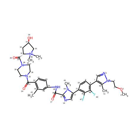 COCCn1ncc(-c2ccc(-c3cnc(C(=O)Nc4ccc(C(=O)N5CCN(C(=O)[C@@H]6C[C@@H](O)C[N+]6(C)C)CC5)c(C)c4)n3C)c(F)c2F)c1C